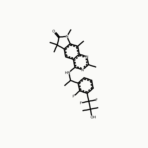 Cc1nc(NC(C)c2cccc(C(F)(F)C(C)(C)O)c2F)c2cc3c(c(C)c2n1)N(C)C(=O)C3(C)C